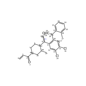 C=CC(=O)N1CCN(/C(=N/C)c2cc(Cl)c(Cl)nc2N(C=O)c2ccccc2C)C(C)C1